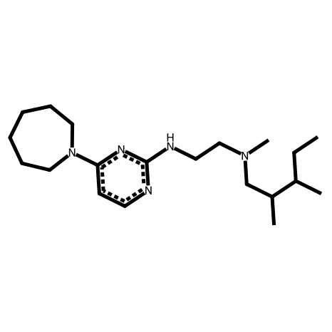 CCC(C)C(C)CN(C)CCNc1nccc(N2CCCCCC2)n1